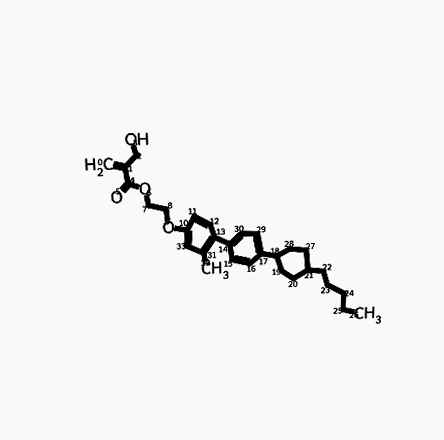 C=C(CO)C(=O)OCCOc1ccc(-c2ccc(C3CCC(CCCCC)CC3)cc2)c(C)c1